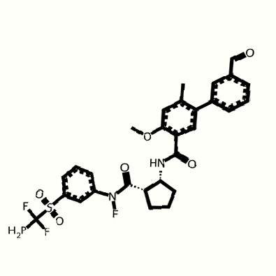 COc1cc(C)c(-c2cccc(C=O)c2)cc1C(=O)N[C@@H]1CCC[C@@H]1C(=O)N(F)c1cccc(S(=O)(=O)C(F)(F)P)c1